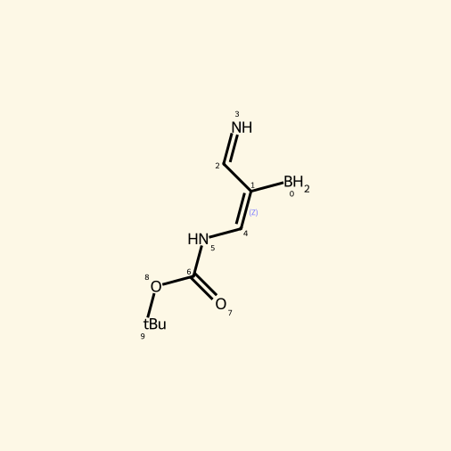 B/C(C=N)=C/NC(=O)OC(C)(C)C